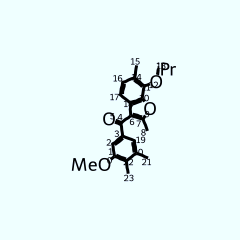 COc1cc(C(=O)c2c(C)oc3c(OC(C)C)c(C)ccc23)cc(C)c1C